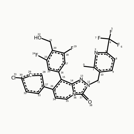 Cc1nc(C(F)(F)F)ccc1Cn1nc2c(-c3cc(F)c(CO)c(F)c3)c(-c3ccc(Cl)cc3)ccn2c1=O